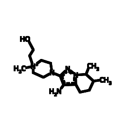 CC1CCc2c(N)c(N3CC[N+](C)(CCO)CC3)nn2C1C